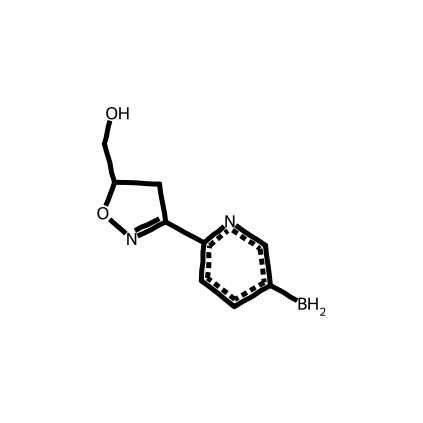 Bc1ccc(C2=NOC(CO)C2)nc1